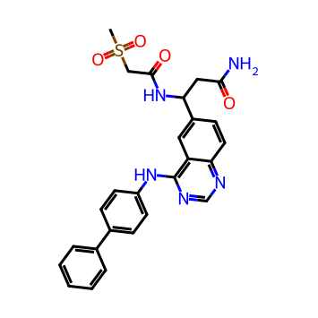 CS(=O)(=O)CC(=O)NC(CC(N)=O)c1ccc2ncnc(Nc3ccc(-c4ccccc4)cc3)c2c1